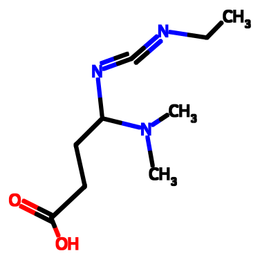 CCN=C=NC(CCC(=O)O)N(C)C